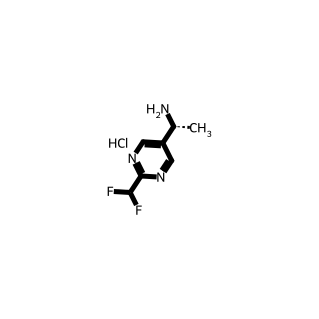 C[C@@H](N)c1cnc(C(F)F)nc1.Cl